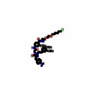 COc1cc(/C=C/C2=NC(=C\c3ccc(N(C)C)cc3)/C(=O)N2CC(=O)NC2CCC(C(=O)NCCOCCOCCCCCCCl)CC2)cc(OC)c1OC